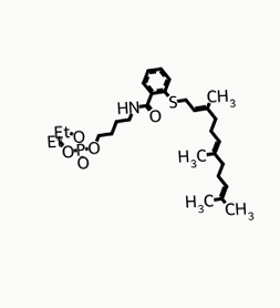 CCOP(=O)(OCC)OCCCCNC(=O)c1ccccc1SC/C=C(\C)CC/C=C(\C)CCC=C(C)C